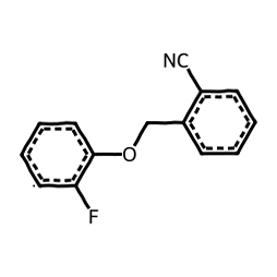 N#Cc1ccccc1COc1ccc[c]c1F